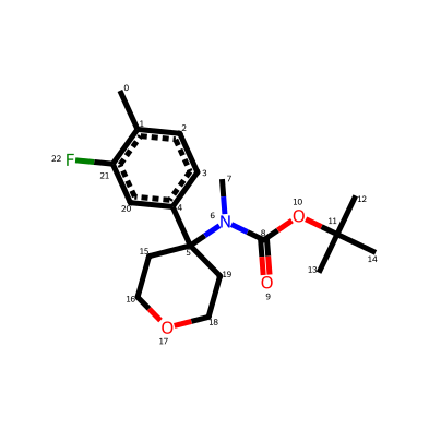 Cc1ccc(C2(N(C)C(=O)OC(C)(C)C)CCOCC2)cc1F